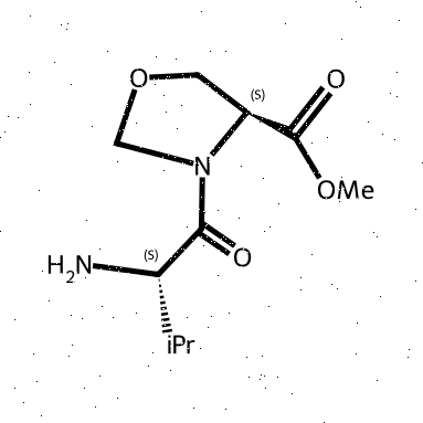 COC(=O)[C@@H]1COCN1C(=O)[C@@H](N)C(C)C